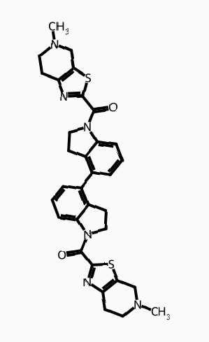 CN1CCc2nc(C(=O)N3CCc4c(-c5cccc6c5CCN6C(=O)c5nc6c(s5)CN(C)CC6)cccc43)sc2C1